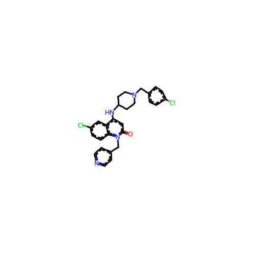 O=c1cc(NC2CCN(Cc3ccc(Cl)cc3)CC2)c2cc(Cl)ccc2n1Cc1ccncc1